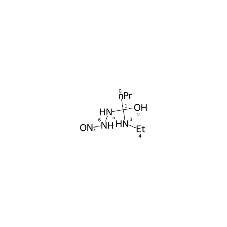 CCCC(O)(NCC)NNN=O